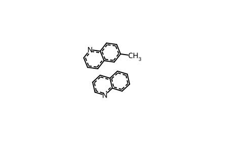 Cc1ccc2ncccc2c1.c1ccc2ncccc2c1